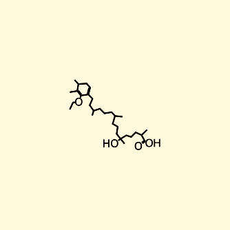 CCOC1=C(C)C(C)CC=C1CCC(C)CCCC(C)CCCC(C)(O)CCCC(C)C(=O)O